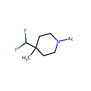 CC(=O)N1CCC(C)(C(F)F)CC1